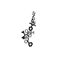 Cc1nn(COCCS(C)(C)C)c(C)c1-c1ccc(NC(=O)C(C(=O)NCC(=O)c2ccccc2)C(C2CC2)C2CC2)cc1